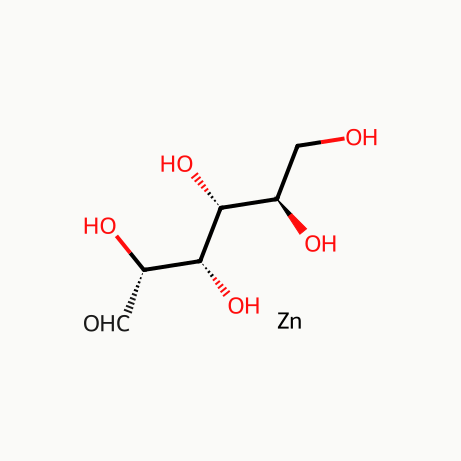 O=C[C@H](O)[C@@H](O)[C@H](O)[C@H](O)CO.[Zn]